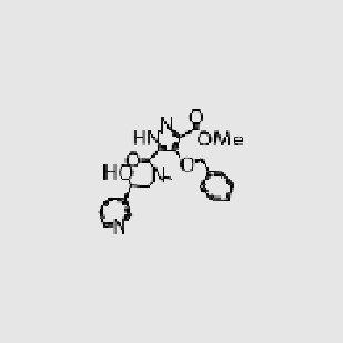 COC(=O)c1n[nH]c(C(=O)N(C)CC(O)c2cccnc2)c1OCc1ccccc1